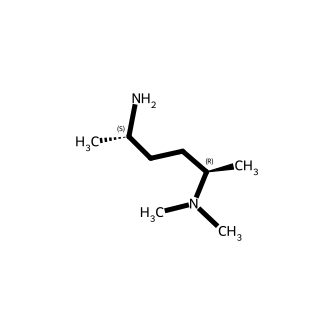 C[C@H](N)CC[C@@H](C)N(C)C